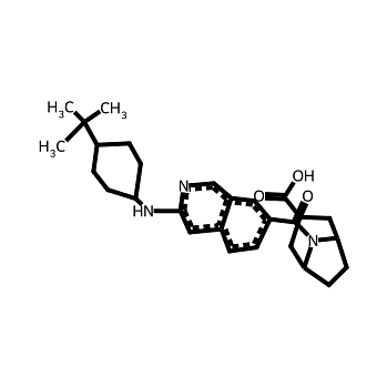 CC(C)(C)C1CCC(Nc2cc3ccc(C(=O)N4C5CCC4CC(C(=O)O)C5)cc3cn2)CC1